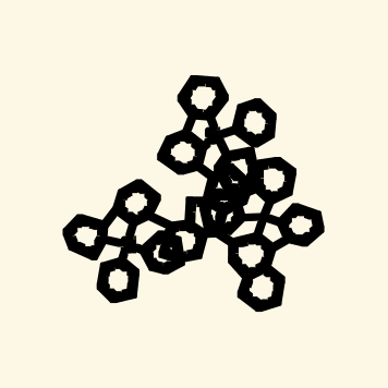 c1ccc([Si]2(c3ccccc3)c3ccccc3-c3cccc(-c4cccc5c(-c6cc7ccccc7c7c6C6(c8ccccc8-c8ccccc86)c6ccccc6-7)c6cccc(-c7cccc8c7[Si](c7ccccc7)(c7ccccc7)c7ccccc7-8)c6cc45)c32)cc1